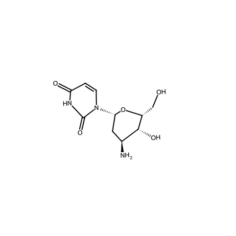 N[C@H]1C[C@H](n2ccc(=O)[nH]c2=O)O[C@H](CO)[C@@H]1O